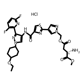 CCOC1CCC(n2cc(NC(=O)c3csc(-c4cnn(COC(=O)C[C@H](N)C(=O)OC)c4)n3)c(-c3nc(F)ccc3F)n2)CC1.Cl